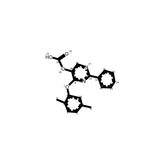 Cc1ccc(C)c(Oc2nc(-c3ccccc3)ncc2OC(=O)O)c1